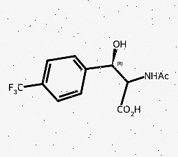 CC(=O)NC(C(=O)O)[C@H](O)c1ccc(C(F)(F)F)cc1